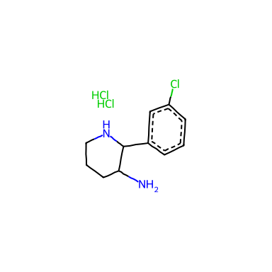 Cl.Cl.NC1CCCNC1c1cccc(Cl)c1